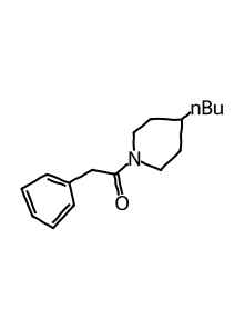 CCCCC1CCN(C(=O)Cc2ccccc2)CC1